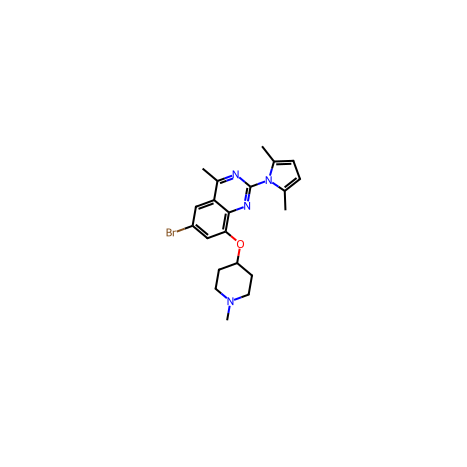 Cc1nc(-n2c(C)ccc2C)nc2c(OC3CCN(C)CC3)cc(Br)cc12